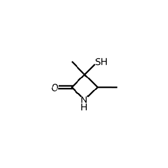 CC1NC(=O)C1(C)S